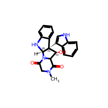 CN1CC(=O)N2C(C1=O)[C@@H](O)[C@]1(c3c[nH]c4ccccc34)c3ccccc3N[C@H]21